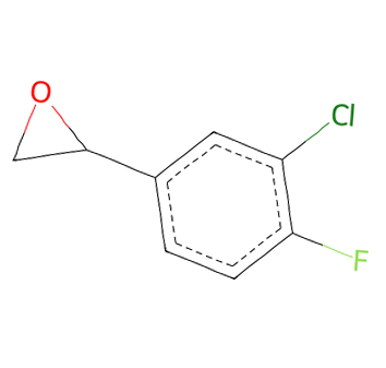 Fc1ccc(C2CO2)cc1Cl